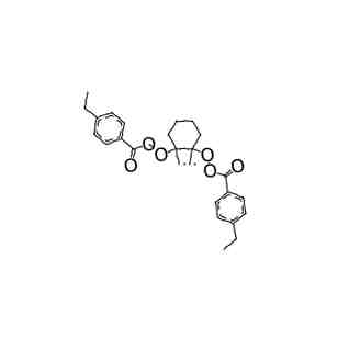 [CH2]C1(OOC(=O)c2ccc(CC)cc2)CCCCC1([CH2])OOC(=O)c1ccc(CC)cc1